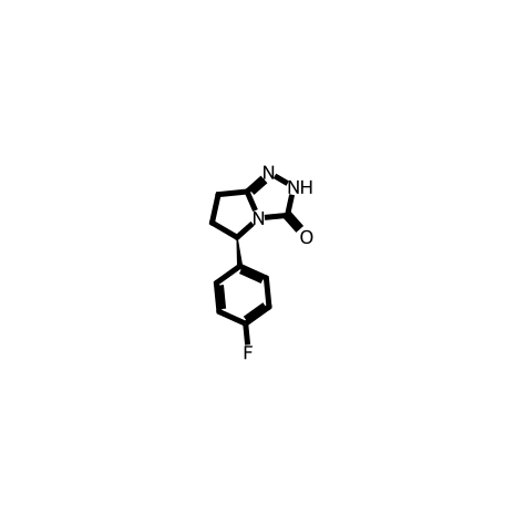 O=c1[nH]nc2n1[C@@H](c1ccc(F)cc1)CC2